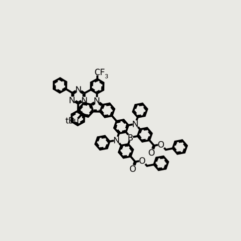 CC(C)(C)c1ccc2c(c1)c1cc(-c3cc4c5c(c3)N(c3ccccc3)c3ccc(C(=O)OCc6ccccc6)cc3B5c3cc(C(=O)OCc5ccccc5)ccc3N4c3ccccc3)ccc1n2-c1ccc(C(F)(F)F)cc1-c1nc(-c2ccccc2)nc(-c2ccccc2)n1